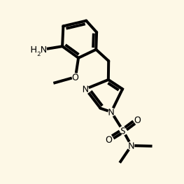 COc1c(N)cccc1Cc1cn(S(=O)(=O)N(C)C)cn1